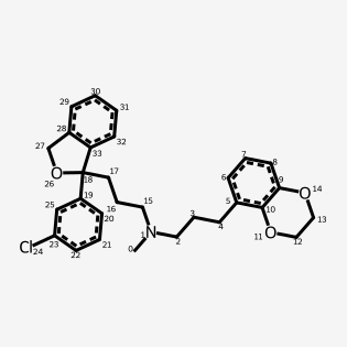 CN(CCCc1cccc2c1OCCO2)CCCC1(c2cccc(Cl)c2)OCc2ccccc21